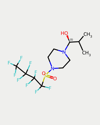 CC(C)[C@H](O)N1CCN(S(=O)(=O)C(F)(F)C(F)(F)C(F)(F)C(F)(F)F)CC1